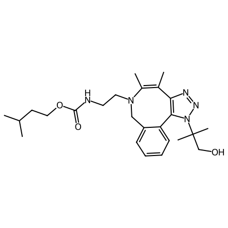 C/C1=C(\C)N(CCNC(=O)OCCC(C)C)Cc2ccccc2-c2c1nnn2C(C)(C)CO